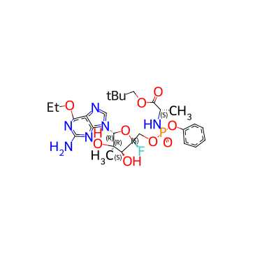 CCOc1nc(N)nc2c1ncn2[C@@H]1O[C@](F)(COP(=O)(N[C@@H](C)C(=O)OCC(C)(C)C)Oc2ccccc2)[C@@H](O)[C@@]1(C)O